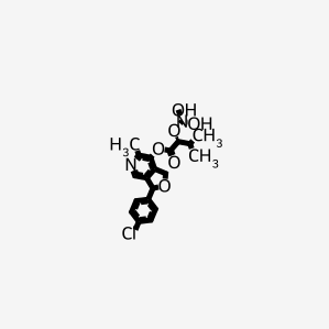 Cc1ncc2c(c1OC(=O)[C@@H](ON(O)O)C(C)C)COC2c1ccc(Cl)cc1